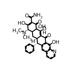 CN(C)[C@@H]1C(O)=C(C(N)=O)C(=O)[C@@]2(O)C(O)=C3C(=O)c4c(cc5cccnc5c4O)[C@H](c4ccccc4)[C@H]3CC12